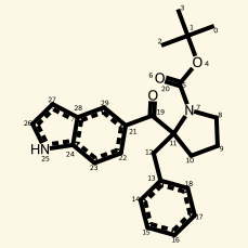 CC(C)(C)OC(=O)N1CCCC1(Cc1ccccc1)C(=O)c1ccc2[nH]ccc2c1